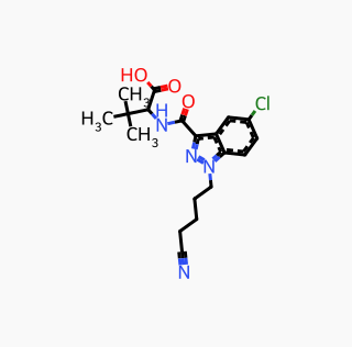 CC(C)(C)C(NC(=O)c1nn(CCCCC#N)c2ccc(Cl)cc12)C(=O)O